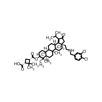 CC(C)C1=C2[C@H]3CC[C@@H]4[C@@]5(C)CC[C@H](OC(=O)[C@H]6C[C@@H](C(=O)O)C6(C)C)C(C)(C)[C@@H]5CC[C@@]4(C)[C@]3(C)CC[C@@]2(CCNCc2ccc(Cl)c(Cl)c2)CC1=O